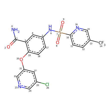 NC(=O)c1cc(NS(=O)(=O)c2ccc(C(F)(F)F)cn2)ccc1Oc1cncc(Cl)c1